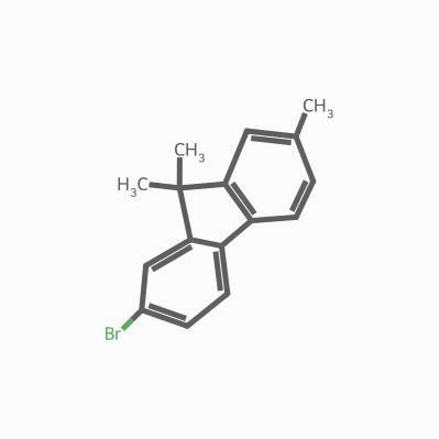 Cc1ccc2c(c1)C(C)(C)c1cc(Br)ccc1-2